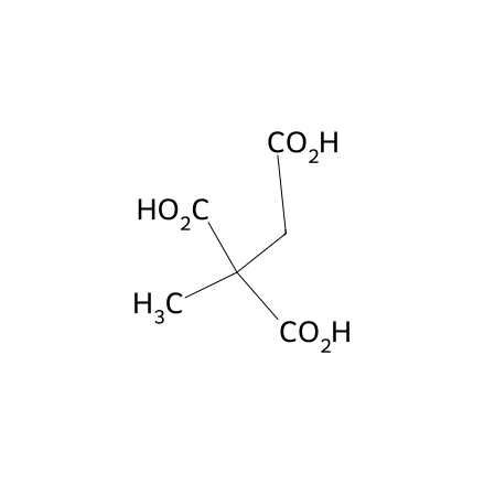 CC(CC(=O)O)(C(=O)O)C(=O)O